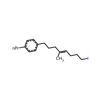 CCCc1ccc(CCC/C(C)=C/CCCI)cc1